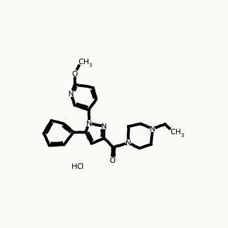 CCN1CCN(C(=O)c2cc(-c3ccccc3)n(-c3ccc(OC)nc3)n2)CC1.Cl